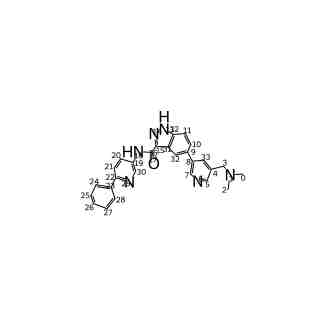 CN(C)Cc1cncc(-c2ccc3[nH]nc(C(=O)Nc4ccc(-c5ccccc5)nc4)c3c2)c1